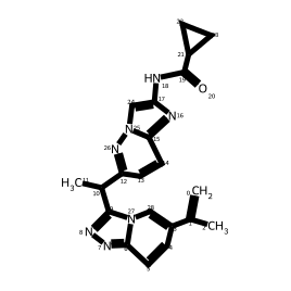 C=C(C)c1ccc2nnc(C(C)c3ccc4nc(NC(=O)C5CC5)cn4n3)n2c1